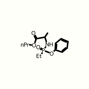 CCCOC(=O)C(C)NP(=O)(CC)Oc1ccccc1